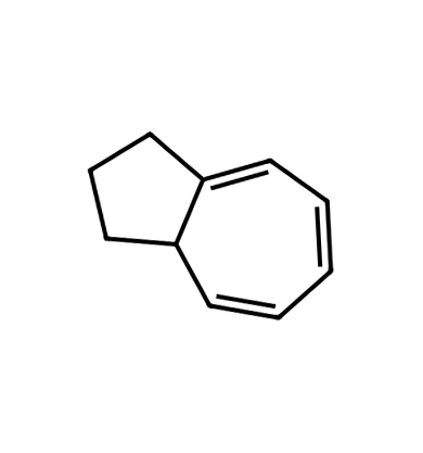 C1=CC=C2CCCC2C=C1